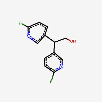 OCC(c1ccc(F)nc1)c1ccc(F)nc1